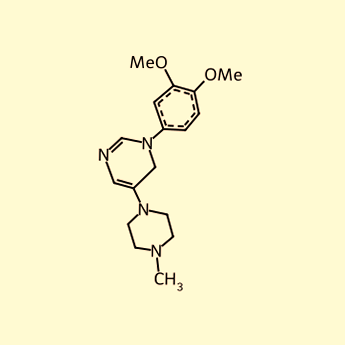 COc1ccc(N2C=NC=C(N3CCN(C)CC3)C2)cc1OC